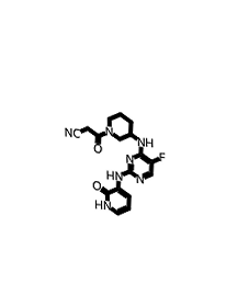 N#CCC(=O)N1CCCC(Nc2nc(Nc3ccc[nH]c3=O)ncc2F)C1